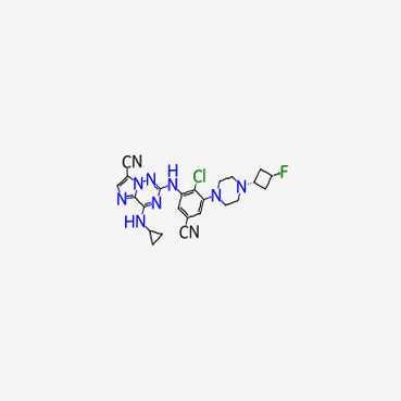 N#Cc1cc(Nc2nc(NC3CC3)c3ncc(C#N)n3n2)c(Cl)c(N2CCN([C@H]3C[C@H](F)C3)CC2)c1